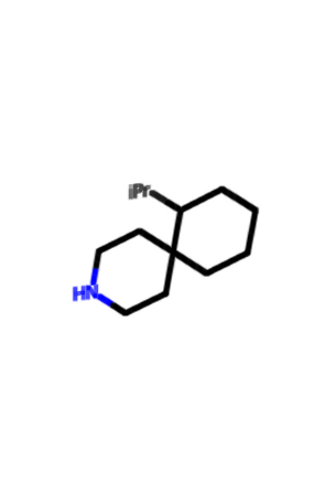 CC(C)C1CCCCC12CCNCC2